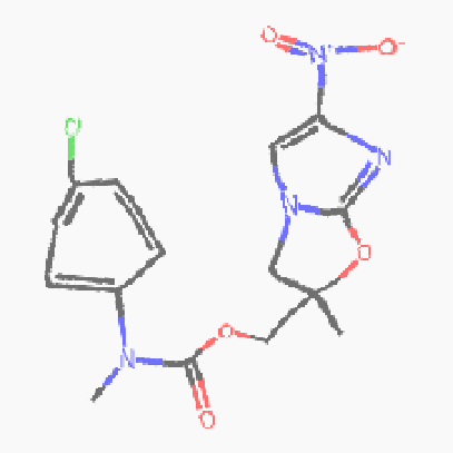 CN(C(=O)OCC1(C)Cn2cc([N+](=O)[O-])nc2O1)c1ccc(Cl)cc1